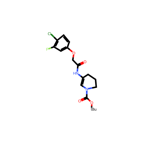 CC(C)(C)OC(=O)N1C=C(NC(=O)COc2ccc(Cl)c(F)c2)CCC1